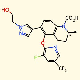 C[C@H]1CCc2c(ccc(-c3cnn(CCO)c3)c2Oc2ncc(C(F)(F)F)cc2F)N1C(=O)O